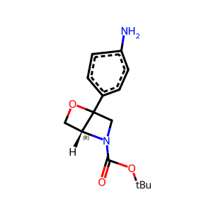 CC(C)(C)OC(=O)N1CC2(c3ccc(N)cc3)OC[C@@H]12